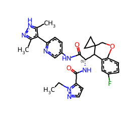 CCn1nccc1C(=O)N[C@H](C(=O)Nc1ccc(-c2c(C)n[nH]c2C)nc1)C1c2cc(F)ccc2OCC12CC2